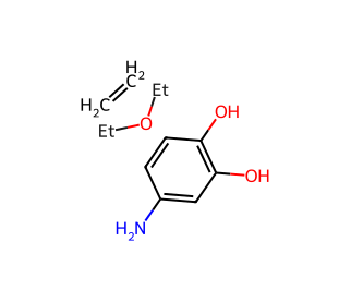 C=C.CCOCC.Nc1ccc(O)c(O)c1